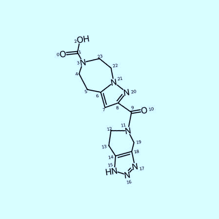 O=C(O)N1CCc2cc(C(=O)N3CCc4[nH]nnc4C3)nn2CC1